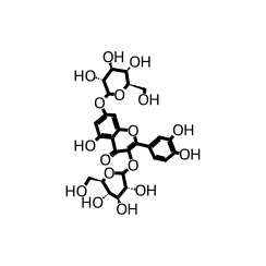 O=c1c(OC2O[C@H](CO)[C@@H](O)[C@H](O)[C@H]2O)c(-c2ccc(O)c(O)c2)oc2cc(OC3O[C@H](CO)[C@@H](O)[C@H](O)[C@H]3O)cc(O)c12